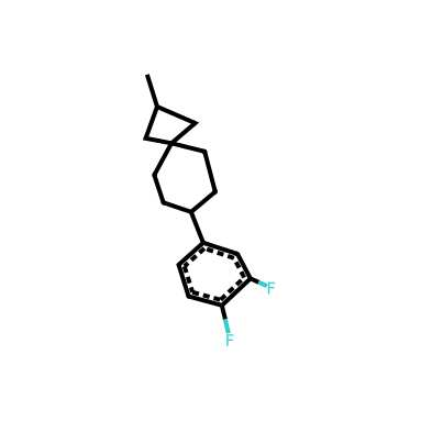 CC1CC2(CCC(c3ccc(F)c(F)c3)CC2)C1